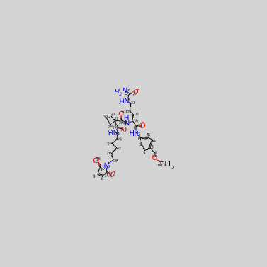 BOCc1ccc(NC(=O)[C@H](CCCNC(N)=O)NC(=O)C2(C(=O)NCCCCCN3C(=O)C=CC3=O)CCC2)cc1